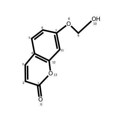 O=c1ccc2ccc(OCO)cc2o1